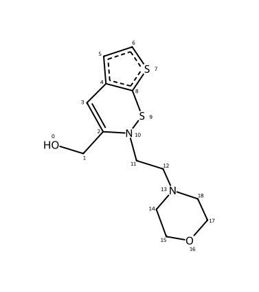 OCC1=Cc2ccsc2SN1CCN1CCOCC1